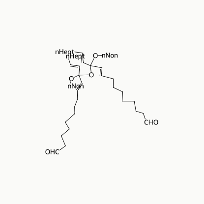 CCCCCCCC=CC(C=CCCCCCCCC=O)(OCCCCCCCCC)OC(C=CCCCCCCC)(C=CCCCCCCCC=O)OCCCCCCCCC